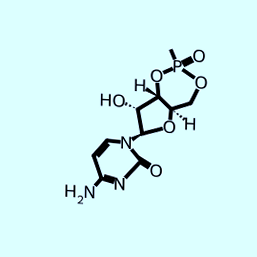 CP1(=O)OC[C@H]2O[C@@H](n3ccc(N)nc3=O)[C@H](O)[C@@H]2O1